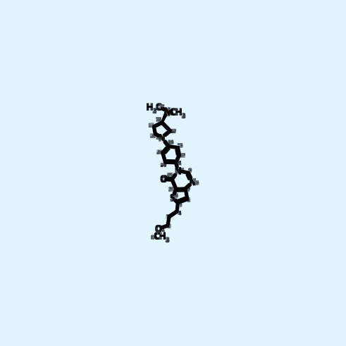 COCCCc1cc2ncn(-c3ccc(N4CC[C@@H](N(C)C)C4)cc3)c(=O)c2s1